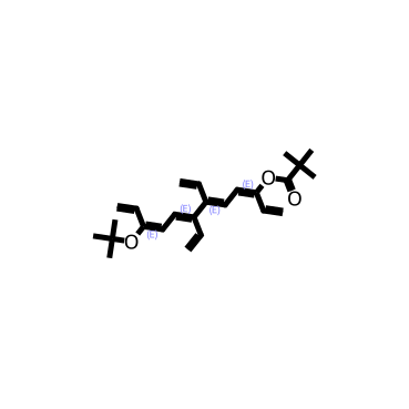 C=C\C(=C/C=C(C=C)/C(C=C)=C/C=C(\C=C)OC(C)(C)C)OC(=O)C(C)(C)C